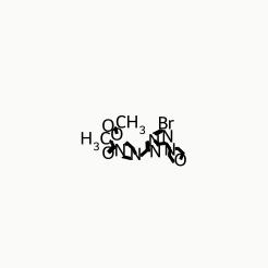 CC(=O)O[C@H](C)C(=O)N1CCN(Cc2cn3cc(Br)nc(N4CCOCC4)c3n2)CC1